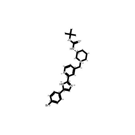 CC(C)(C)OC(=O)N[C@@H]1CCCN(Cc2ccnc(-c3ncc(-c4ccc(Br)cc4)[nH]3)c2)C1